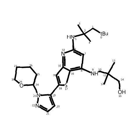 CC(C)(C)CC(C)(C)Nc1cc(NCC(C)(C)CO)c2sc(-c3ccnn3C3CCCCO3)cc2n1